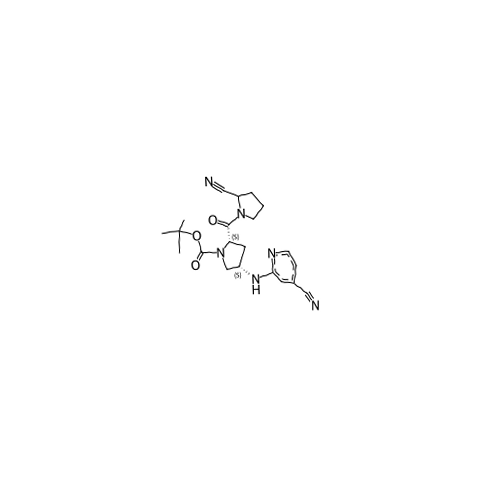 CC(C)(C)OC(=O)N1C[C@@H](Nc2cc(C#N)ccn2)C[C@H]1C(=O)N1CCCC1C#N